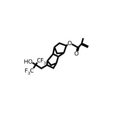 C=C(C)C(=O)OC1CC2CC1C1C3CC(CC(O)(C(F)(F)F)C(F)(F)F)C(C3)C21